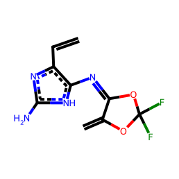 C=Cc1nc(N)[nH]c1/N=C1/OC(F)(F)OC1=C